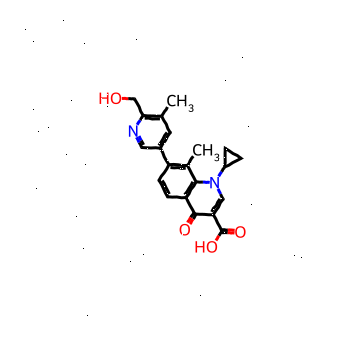 Cc1cc(-c2ccc3c(=O)c(C(=O)O)cn(C4CC4)c3c2C)cnc1CO